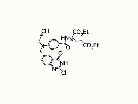 C#CCN(Cc1ccc2nc(Cl)[nH]c(=O)c2c1)c1ccc(C(=O)N[C@H](CCC(=O)OCC)C(=O)OCC)cc1